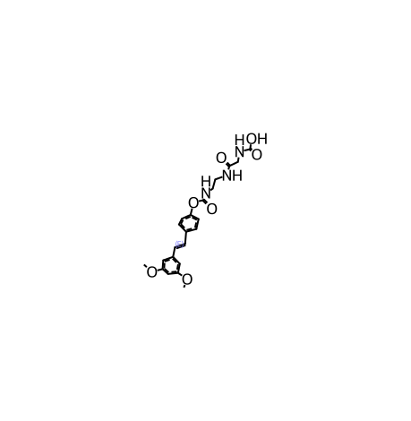 COc1cc(/C=C/c2ccc(OC(=O)NCCNC(=O)CNC(=O)O)cc2)cc(OC)c1